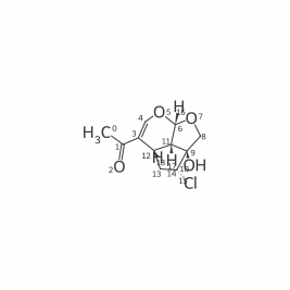 CC(=O)C1=CO[C@@H]2OC[C@@]3(O)[C@@H]2[C@@H]1C[C@H]3Cl